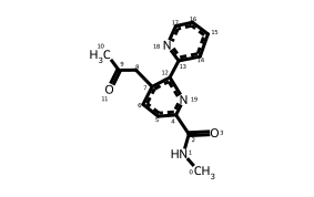 CNC(=O)c1ccc(CC(C)=O)c(-c2ccccn2)n1